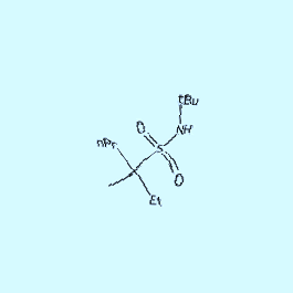 CCCC(C)(CC)S(=O)(=O)NC(C)(C)C